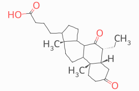 CC[C@H]1C(=O)C2C3CCC(CCCC(=O)O)[C@@]3(C)CCC2[C@@]2(C)CCC(=O)C[C@@H]12